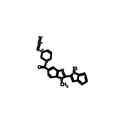 CCn1c(-c2nc3cc(C(=O)N4CC=C[C@@H](N=[N+]=[N-])C4)ccc3n2C)cc2ccccc21